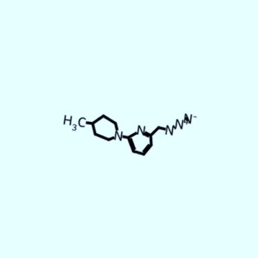 CC1CCN(c2cccc(CN=[N+]=[N-])n2)CC1